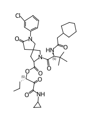 CCC[C@H](OC(=O)C1CC2(CC(=O)N(c3cccc(Cl)c3)C2)CN1C(=O)[C@@H](NC(=O)CC1CCCCC1)C(C)(C)C)C(=O)C(=O)NC1CC1